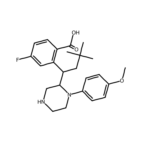 COc1ccc(N2CCNCC2C(CC(C)(C)C)c2cc(F)ccc2C(=O)O)cc1